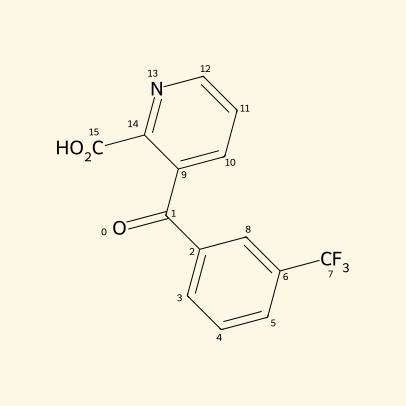 O=C(c1cccc(C(F)(F)F)c1)c1cccnc1C(=O)O